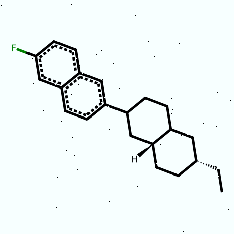 CC[C@@H]1CC[C@@H]2CC(c3ccc4cc(F)ccc4c3)CCC2C1